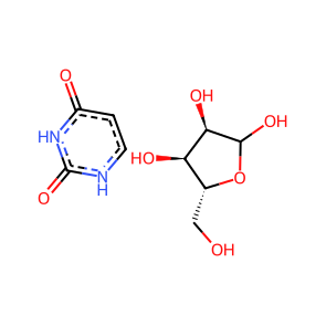 O=c1cc[nH]c(=O)[nH]1.OC[C@H]1OC(O)[C@H](O)[C@@H]1O